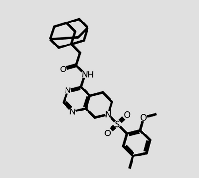 COc1ccc(C)cc1S(=O)(=O)N1CCc2c(ncnc2NC(=O)CC23CC4CC(CC(C4)C2)C3)C1